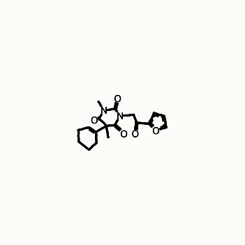 CN1C(=O)N(CC(=O)c2ccco2)C(=O)C(C)(C2=CCCCC2)C1=O